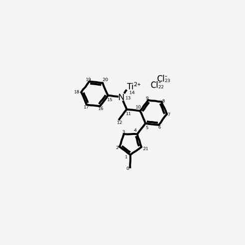 CC1=CCC(c2ccccc2C(C)[N]([Ti+2])c2ccccc2)=C1.[Cl-].[Cl-]